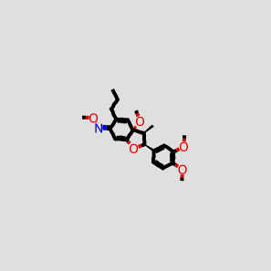 CCCC1=C[C@@]2(OC)C(=C/C1=N/OC)O[C@H](c1ccc(OC)c(OC)c1)[C@@H]2C